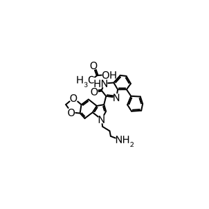 CC(=O)O.NCCCn1cc(-c2nc3c(-c4ccccc4)cccc3[nH]c2=O)c2cc3c(cc21)OCO3